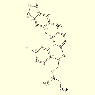 Cc1ccc(OC(CCN(C)CC(=O)O)c2ccc(F)cc2)cc1Oc1ccc2c(c1)OCO2